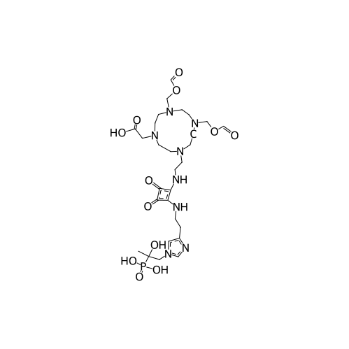 CC(O)(Cn1cnc(CCNc2c(NCCN3CCN(COC=O)CCN(COC=O)CCN(CC(=O)O)CC3)c(=O)c2=O)c1)P(=O)(O)O